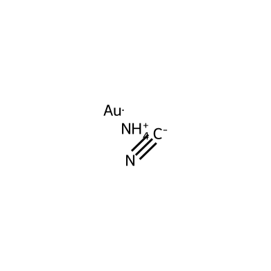 [Au].[C-]#N.[NH4+]